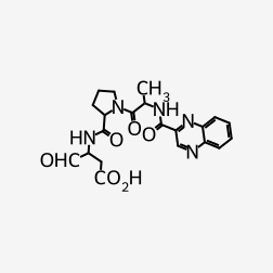 CC(NC(=O)c1cnc2ccccc2n1)C(=O)N1CCCC1C(=O)NC(C=O)CC(=O)O